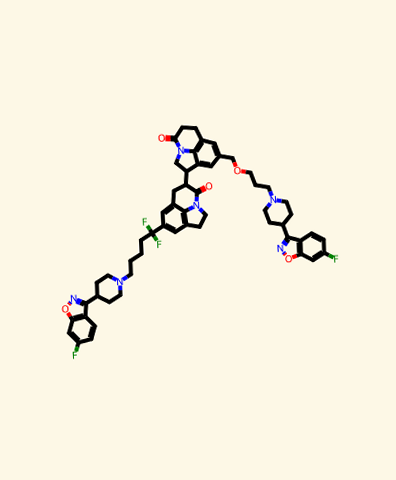 O=C1C(C2CN3C(=O)CCc4cc(COCCCN5CCC(c6noc7cc(F)ccc67)CC5)cc2c43)Cc2cc(C(F)(F)CCCCN3CCC(c4noc5cc(F)ccc45)CC3)cc3c2N1CC3